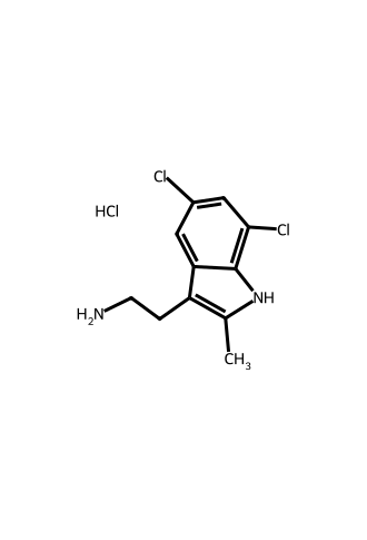 Cc1[nH]c2c(Cl)cc(Cl)cc2c1CCN.Cl